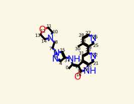 CC(Nc1cnn(CCN2CCOCC2)c1)=C1C(=O)Nc2cnc(-c3cnccc3C)cc21